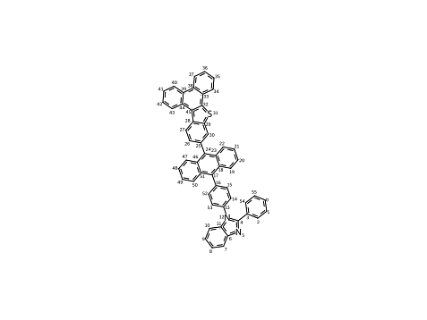 c1ccc(-c2nc3ccccc3n2-c2ccc(-c3c4ccccc4c(-c4ccc5c(c4)sc4c6ccccc6c6ccccc6c54)c4ccccc34)cc2)cc1